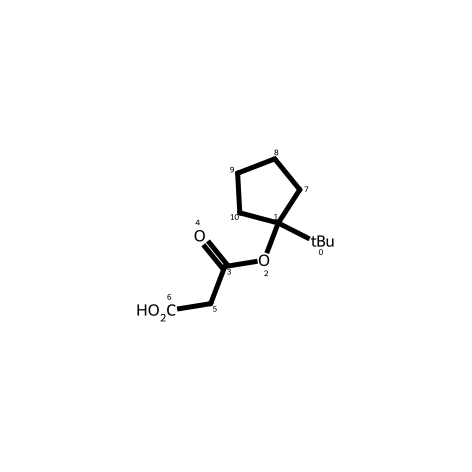 CC(C)(C)C1(OC(=O)CC(=O)O)CCCC1